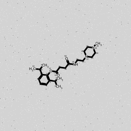 CC(C)c1cccc(C(C)C)c1OC(=O)CCC(=O)NCCN1CCN(C)CC1